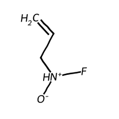 C=CC[NH+]([O-])F